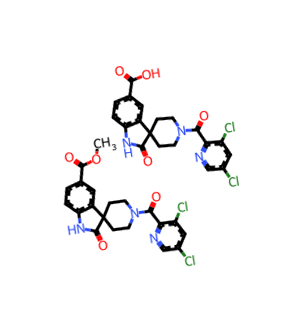 COC(=O)c1ccc2c(c1)C1(CCN(C(=O)c3ncc(Cl)cc3Cl)CC1)C(=O)N2.O=C(O)c1ccc2c(c1)C1(CCN(C(=O)c3ncc(Cl)cc3Cl)CC1)C(=O)N2